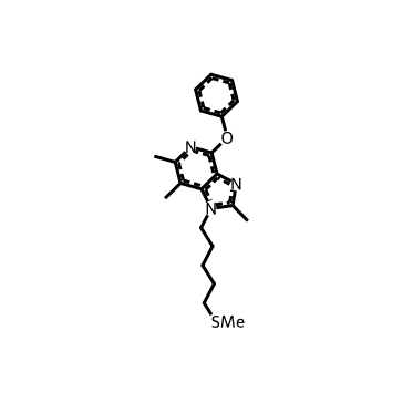 CSCCCCCn1c(C)nc2c(Oc3ccccc3)nc(C)c(C)c21